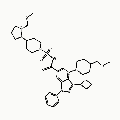 COCC1CCN(c2cc(C(=O)NS(=O)(=O)N3CCC(N4CCC[C@H]4COC)CC3)nc3c2c(C2CCC2)nn3-c2ccccc2)CC1